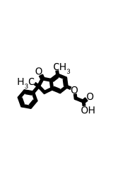 Cc1cc(OCC(=O)O)cc2c1C(=O)C(C)(c1ccccc1)C2